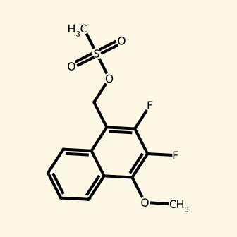 COc1c(F)c(F)c(COS(C)(=O)=O)c2ccccc12